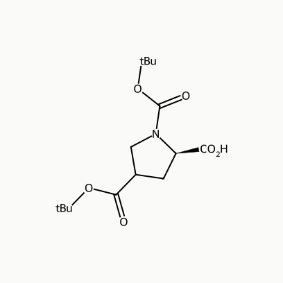 CC(C)(C)OC(=O)C1C[C@H](C(=O)O)N(C(=O)OC(C)(C)C)C1